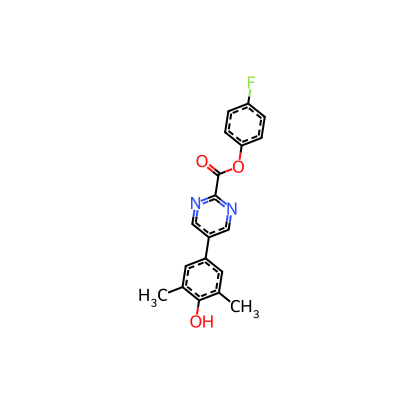 Cc1cc(-c2cnc(C(=O)Oc3ccc(F)cc3)nc2)cc(C)c1O